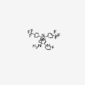 NC(=O)C(=Cn1nc(-c2ccc(C(F)(F)F)cc2)nc1-c1ccc(C(F)(F)F)cc1)c1cccc(F)n1